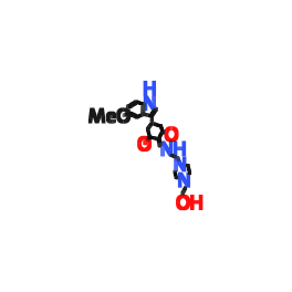 COc1ccc2[nH]cc(C3CC(=O)C(=CNCCN4CCN(CCO)CC4)C(=O)C3)c2c1